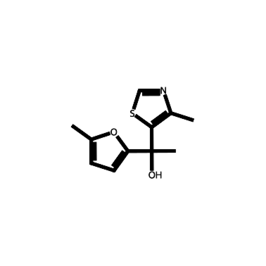 Cc1ccc(C(C)(O)c2scnc2C)o1